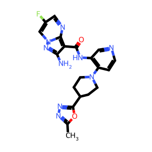 Cc1nnc(C2CCN(c3ccncc3NC(=O)c3c(N)nn4cc(F)cnc34)CC2)o1